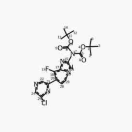 CC(C)(C)OC(=O)N(C(=O)OC(C)(C)C)c1nc2c(F)c(-c3cncc(Cl)n3)ccn2n1